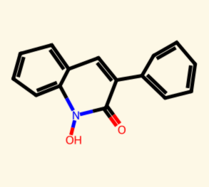 O=c1c(-c2ccccc2)cc2ccccc2n1O